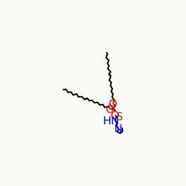 CCCCCCCCC=CCCCCCCCCOCC(COC(=S)NCCN1CCCC1)OCCCCCCCCC=CCCCCCCCC